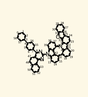 c1ccc(-c2ccc(-c3nc(-n4c5cccc6c7cccc8c9ccc%10c%11ccccc%11oc%10c9n(c9cccc4c9c65)c78)nc4c3ccc3ccccc34)cc2)cc1